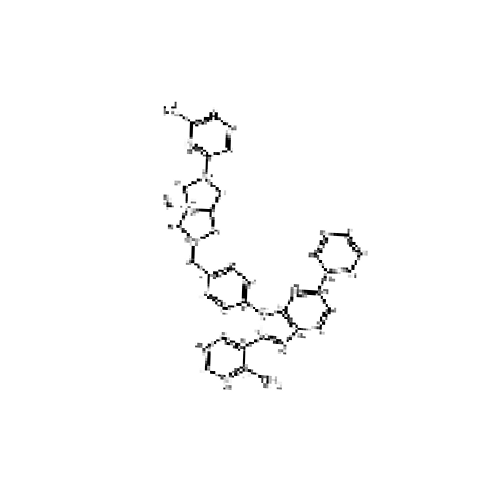 N#Cc1nccc(N2CC3CN(Cc4ccc(-n5c(-c6cccnc6N)nc6ccc(-c7ccccc7)nc65)cc4)C[C@H]3C2)n1